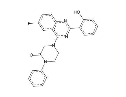 O=C1CN(c2nc(-c3ccccc3O)nc3ccc(F)cc23)CCN1c1ccccc1